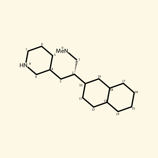 CNC[C@@H](CC1CCCNC1)C1CCC2CCCCC2C1